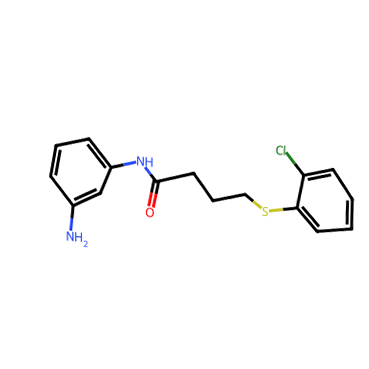 Nc1cccc(NC(=O)CCCSc2ccccc2Cl)c1